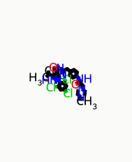 CC(C)c1[nH]n(-c2c(Cl)cc(Cl)cc2Cl)c2nc(Cc3ccc(NC(=O)CN4CCN(C)CC4)cc3)nc(=O)c1-2